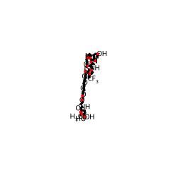 Cc1cc(C(=O)NCCOCCOCCOCCOCCOCCOCCOCCn2nccc2-c2cc(C(=O)Nc3ccc(OC(F)(F)F)cc3)cnc2N2CC[C@@H](O)C2)ccc1B(O)O